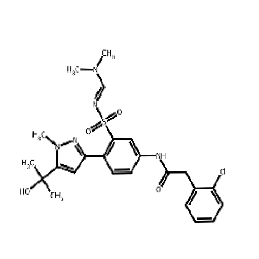 CN(C)/C=N/S(=O)(=O)c1cc(NC(=O)Cc2ccccc2Cl)ccc1-c1cc(C(C)(C)O)n(C)n1